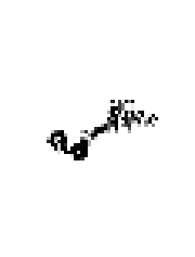 CNC(=C[N+](=O)[O-])NCC=CCOc1cccc(CN2CCCCC2)c1